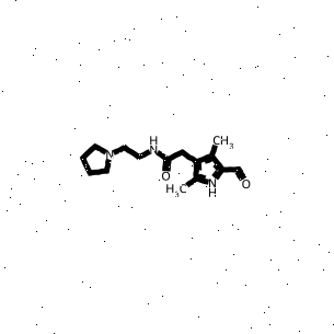 Cc1[nH]c(C=O)c(C)c1CC(=O)NCCN1CCCC1